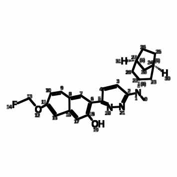 CN(c1ccc(-c2cc3ccc(OCF)cc3cc2O)nn1)[C@H]1C[C@@H]2CC[C@@H](C2)C1